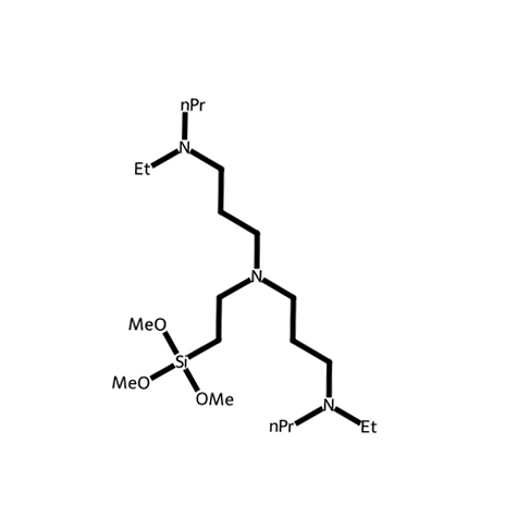 CCCN(CC)CCCN(CCCN(CC)CCC)CC[Si](OC)(OC)OC